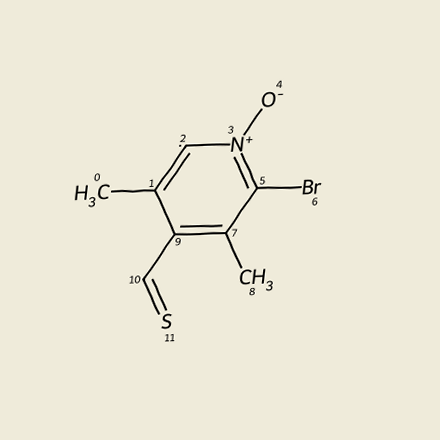 Cc1[c][n+]([O-])c(Br)c(C)c1C=S